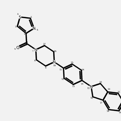 O=C(c1cscn1)N1CCN(c2ccc(N3Cc4ccccc4C3)cc2)CC1